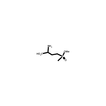 COP(C)(=O)CCC(N)C(=O)O